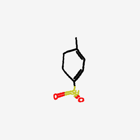 CC1=CC=C([SH](=O)=O)CC1